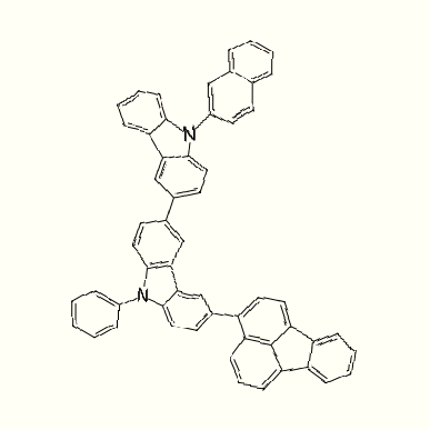 c1ccc(-n2c3ccc(-c4ccc5c(c4)c4ccccc4n5-c4ccc5ccccc5c4)cc3c3cc(-c4ccc5c6c(cccc46)-c4ccccc4-5)ccc32)cc1